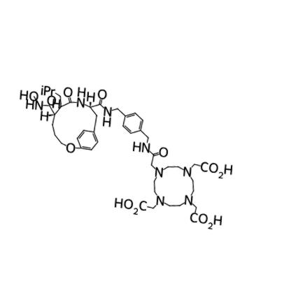 CC(C)C[C@H]1C(=O)N[C@H](C(=O)NCc2ccc(CNC(=O)CN3CCN(CC(=O)O)CCN(CC(=O)O)CCN(CC(=O)O)CC3)cc2)Cc2ccc(cc2)OCCC[C@@H]1C(=O)NO